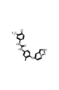 Cc1cc(NC(=O)Nc2ccc(Cl)c(C(F)(F)F)c2)ccc1OC1=CC2=CNSN2C=C1